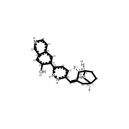 C[C@@]12CC[C@@H](N1)[C@@H](F)/C(=C\c1ccc(-c3cc4ccncc4cc3O)nn1)C2